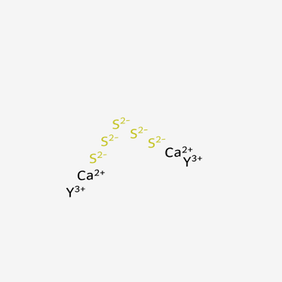 [Ca+2].[Ca+2].[S-2].[S-2].[S-2].[S-2].[S-2].[Y+3].[Y+3]